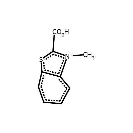 C[n+]1c(C(=O)O)sc2ccccc21